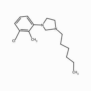 CCCCCCN1CCN(c2cccc(Cl)c2C)C1